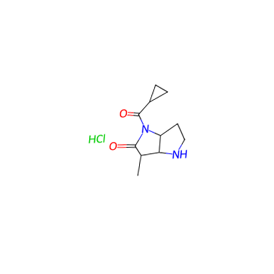 CC1C(=O)N(C(=O)C2CC2)C2CCNC12.Cl